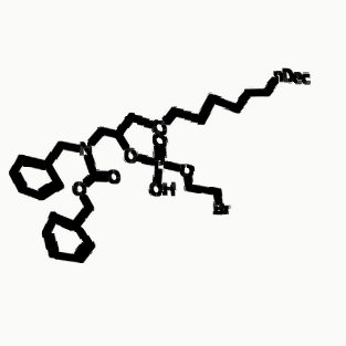 CCCCCCCCCCCCCCCCOCC(CN(Cc1ccccc1)C(=O)OCc1ccccc1)OP(=O)(O)OCCBr